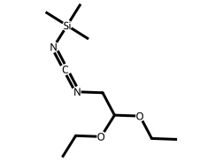 CCOC(CN=C=N[Si](C)(C)C)OCC